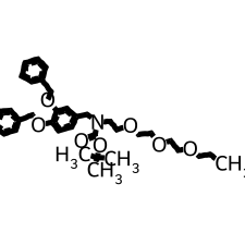 CCCOCCOCCOCCN(Cc1ccc(OCc2ccccc2)c(OCc2ccccc2)c1)C(=O)OC(C)(C)C